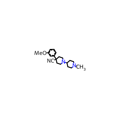 COc1cccc(C2(C#N)CCN(C3CCN(C)CC3)CC2)c1